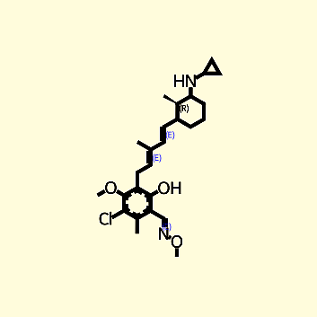 CO/N=C/c1c(C)c(Cl)c(OC)c(C/C=C(C)/C=C/C2CCCC(NC3CC3)[C@@H]2C)c1O